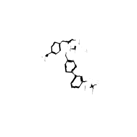 Br.N#Cc1ccc(Cc2cncn2Cc2ccc(-c3cccc(OC(F)(F)F)c3)cc2)cc1